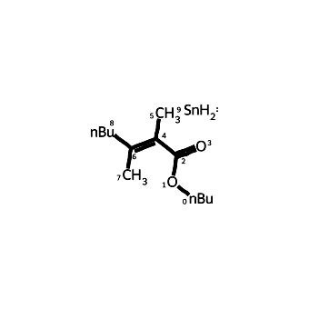 CCCCOC(=O)C(C)=C(C)CCCC.[SnH2]